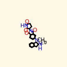 CCN[C@@H]1Cc2ccccc2[C@@H]1N(C)c1ccc2c(c1)C(=O)N(C1CCC(=O)NC1=O)C2=O